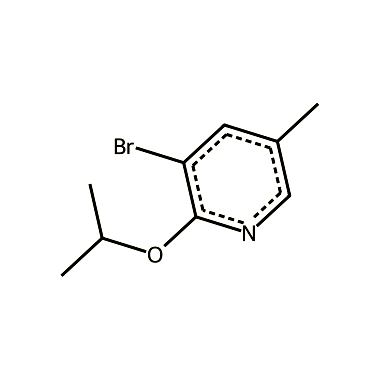 Cc1cnc(OC(C)C)c(Br)c1